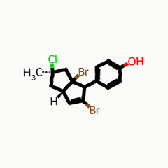 C[C@@]1(Cl)C[C@H]2C=C(Br)C(c3ccc(O)cc3)C2(Br)C1